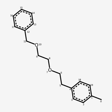 Cc1ccc(CCOCCOCc2ccccc2)cc1